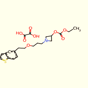 CCOC(=O)OC1CN(CCCOCCc2ccc3sccc3c2)C1.O=C(O)C(=O)O